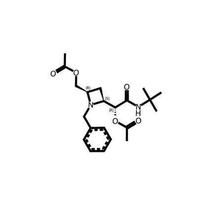 CC(=O)OC[C@H]1C[C@@H]([C@@H](OC(C)=O)C(=O)NC(C)(C)C)N1Cc1ccccc1